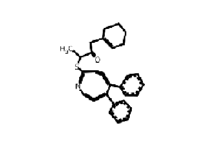 CC(S/C1=N/C=C=C(c2ccccc2)C(c2ccccc2)=C=C1)C(=O)CC1=CCCCC1